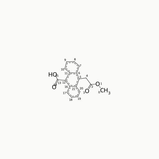 COC(=O)Cc1c2ccccc2c(C(=O)O)c2ccccc12